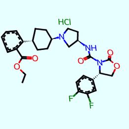 CCOC(=O)c1ccccc1[C@H]1CC[C@H](N2CC[C@@H](NC(=O)N3C(=O)OC[C@@H]3c3ccc(F)c(F)c3)C2)CC1.Cl